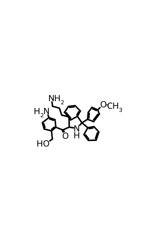 COc1ccc(C(NC(CCCCN)C(=O)c2cc(N)ccc2CO)(c2ccccc2)c2ccccc2)cc1